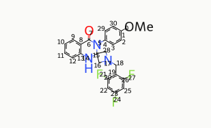 COc1ccc(N2C(=O)c3ccccc3NC23CN(Cc2c(F)cc(F)cc2F)C3)cc1